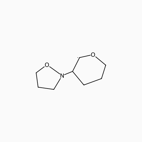 [CH]1OCCCC1N1CCCO1